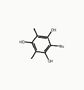 Cc1c(O)c(C)c(O)c(C(C)(C)C)c1O